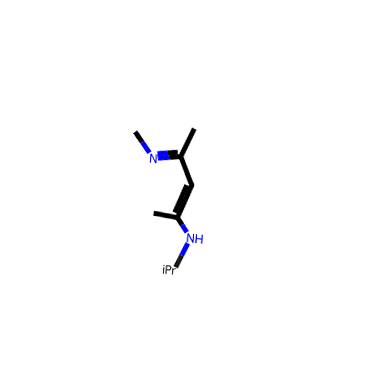 CN=C(C)/C=C(\C)NC(C)C